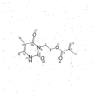 C=C(C)C(=O)OCCn1c(=O)[nH]c(C)c(C)c1=O